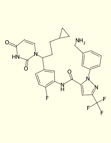 NCc1cccc(-n2nc(C(F)(F)F)cc2C(=O)Nc2cc(C(CCC3CC3)n3ccc(=O)[nH]c3=O)ccc2F)c1